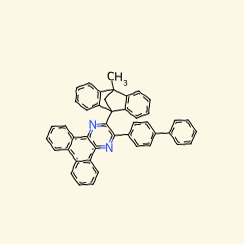 CC12CC(c3nc4c5ccccc5c5ccccc5c4nc3-c3ccc(-c4ccccc4)cc3)(c3ccccc31)c1ccccc12